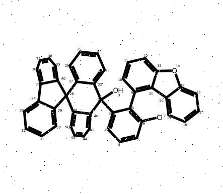 OC1(c2cccc(Cl)c2-c2cccc3oc4ccccc4c23)c2ccccc2C2(c3ccccc3-c3ccccc32)c2ccccc21